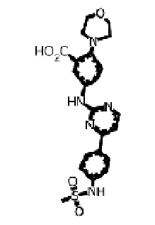 CS(=O)(=O)Nc1ccc(-c2ccnc(Nc3ccc(N4CCOCC4)c(C(=O)O)c3)n2)cc1